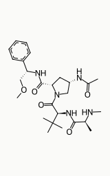 CN[C@@H](C)C(=O)N[C@H](C(=O)N1C[C@@H](NC(C)=O)C[C@H]1C(=O)N[C@H](COC)c1ccccc1)C(C)(C)C